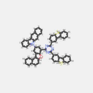 c1ccc2cc3c(cc2c1)c1ccccc1n3-c1cc(-c2nc(-c3ccc4sc5ccccc5c4c3)nc(-c3ccc4sc5ccccc5c4c3)n2)c2oc3ccc4ccccc4c3c2c1